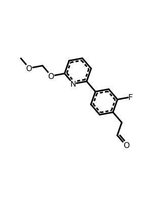 COCOc1cccc(-c2ccc(CC=O)c(F)c2)n1